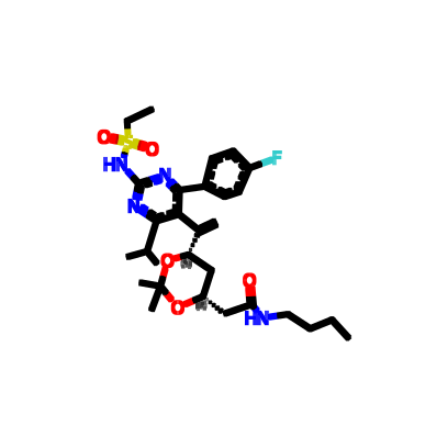 C=C(c1c(-c2ccc(F)cc2)nc(NS(=O)(=O)CC)nc1C(C)C)[C@@H]1C[C@H](CC(=O)NCCCC)OC(C)(C)O1